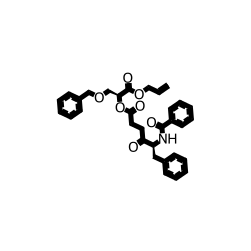 C=CCOC(=O)[C@H](COCc1ccccc1)OC(=O)CCC(=O)[C@H](Cc1ccccc1)NC(=O)c1ccccc1